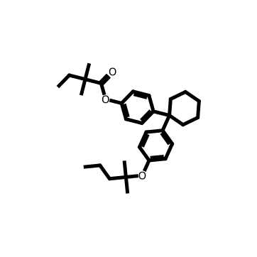 CCCC(C)(C)Oc1ccc(C2(c3ccc(OC(=O)C(C)(C)CC)cc3)CCCCC2)cc1